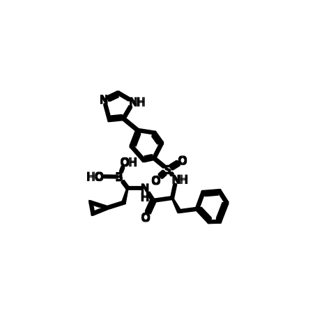 O=C(N[C@@H](CC1CC1)B(O)O)[C@H](Cc1ccccc1)NS(=O)(=O)c1ccc(-c2cnc[nH]2)cc1